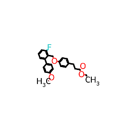 CCOC(=O)CCc1ccc(OCc2c(F)cccc2-c2ccc(OC)cc2)cc1